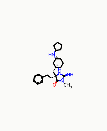 CN1C(=N)N[C@](CCc2ccccc2)(C[C@H]2CCC[C@H](NC3CCCC3)C2)C1=O